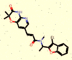 CCc1c(C(C)N(C)C(=O)/C=C/c2cnc3c(c2)OC(C)(C)C(=O)N3)oc2ccccc12